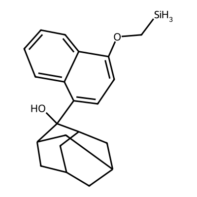 OC1(c2ccc(OC[SiH3])c3ccccc23)C2CC3CC(C2)CC1C3